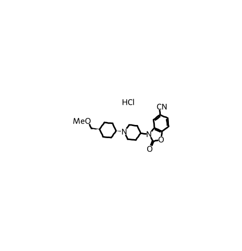 COC[C@H]1CC[C@H](N2CCC(n3c(=O)oc4ccc(C#N)cc43)CC2)CC1.Cl